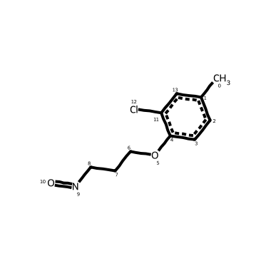 Cc1ccc(OCCCN=O)c(Cl)c1